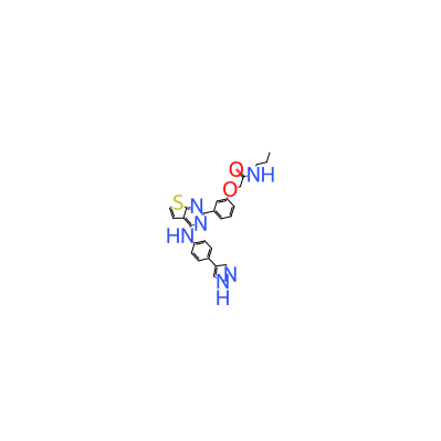 CCCNC(=O)COc1cccc(-c2nc(Nc3ccc(-c4cn[nH]c4)cc3)c3ccsc3n2)c1